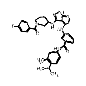 Cc1cc(NC(=O)c2cccc(Nc3ccnc4[nH]nc(NC5CCCN(C(=O)c6ccc(F)cc6)C5)c34)c2)ccc1C(C)C